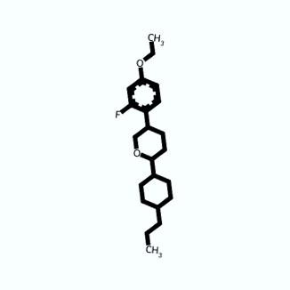 CCCC1CCC(C2CCC(c3ccc(OCC)cc3F)CO2)CC1